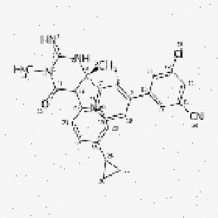 CN1C(=N)N[C@](C)(c2cc(-c3cc(Cl)cc(C#N)c3)ccn2)C(c2ccc(C3CC3)cc2)C1=O